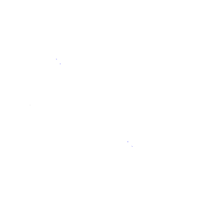 c1ccc2c(c1)-c1cc(-n3c4ccccc4c4ccccc43)ccc1[Si]21c2ccccc2-c2cc(-n3c4ccccc4c4ccccc43)ccc21